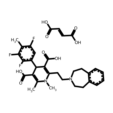 CC1=C(C(=O)O)C(c2cc(F)c(C)c(F)c2F)C(C(=O)O)=C(CCN2CCc3ccccc3CC2)N1C.O=C(O)/C=C/C(=O)O